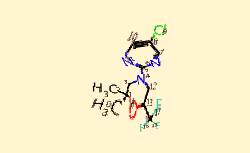 CC1(C)CN(c2ncc(Cl)cn2)CC(C(F)(F)F)O1